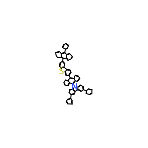 C1=Cc2c(c(-c3ccc4sc5cc(-c6c7ccccc7c(-n7c8ccc(-c9ccccc9)cc8c8cc(-c9ccccc9)ccc87)c7ccccc67)ccc5c4c3)c3ccccc3c2-c2ccccc2)CC1